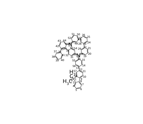 CC1(C)c2ccccc2-c2ccc(-c3ccc(N(c4cccc(-c5ccccc5)c4)c4ccc5c6c(-c7ccccc7)cccc6n(-c6ccccc6)c5c4)cc3)cc21